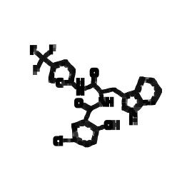 O=C(NC(Cc1c[nH]c2ccccc12)C(=O)Nc1ccc(C(F)(F)F)cc1)c1cc(Cl)ccc1O